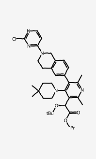 Cc1nc(C)c([C@H](OC(C)(C)C)C(=O)OC(C)C)c(N2CCC(C)(C)CC2)c1-c1ccc2c(c1)CCN(c1ccnc(Cl)n1)C2